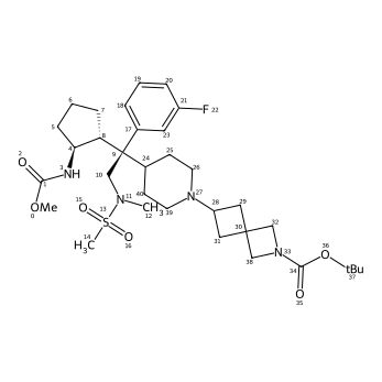 COC(=O)N[C@H]1CCC[C@@H]1[C@](CN(C)S(C)(=O)=O)(c1cccc(F)c1)C1CCN(C2CC3(C2)CN(C(=O)OC(C)(C)C)C3)CC1